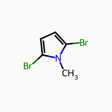 Cn1c(Br)ccc1Br